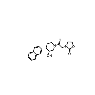 O=C(CN1CCOC1=O)N1CC[C@@H](c2ccc3ccccc3c2)[C@H](O)C1